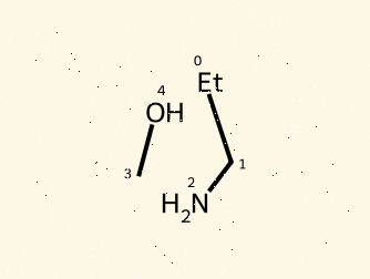 CCCN.CO